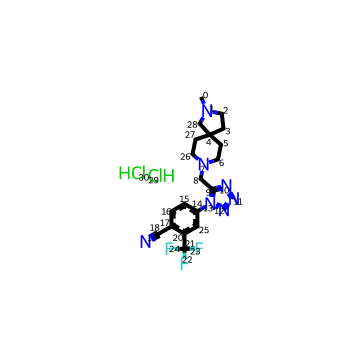 CN1CCC2(CCN(Cc3nnnn3-c3ccc(C#N)c(C(F)(F)F)c3)CC2)C1.Cl.Cl